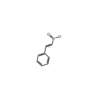 O=[N+]([O-])/C=C/c1[c]cccc1